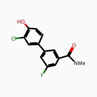 CNC(=O)c1cc(F)cc(-c2ccc(O)c(Cl)c2)c1